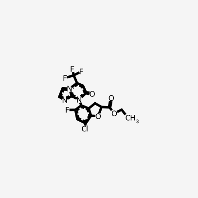 CCOC(=O)C1Cc2c(c(Cl)cc(F)c2-n2c(=O)cc(C(F)(F)F)n3ccnc23)O1